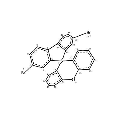 Brc1ccc2c(c1)S1(c3ccccc3Oc3ccccc31)c1cc(Br)ccc1-2